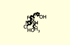 C[C@@H](CCO)Nc1cc(Cl)ncc1-c1ncc(CN2CC[C@@H](O)C2)cc1F